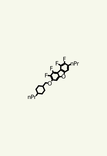 CCCc1cc2oc3cc(OCC4CCC(CCC)CC4)c(F)c(F)c3c2c(F)c1F